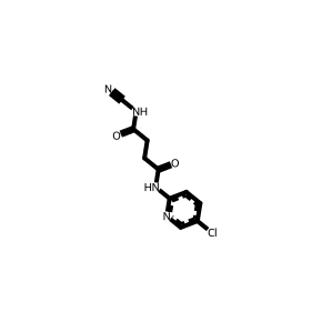 N#CNC(=O)CCC(=O)Nc1ccc(Cl)cn1